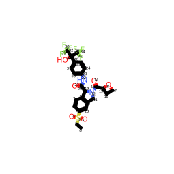 CCS(=O)(=O)c1ccc2c(c1)CN(C(=O)C1CCO1)C2C(=O)Nc1ccc(C(O)(C(F)(F)F)C(F)(F)F)cc1